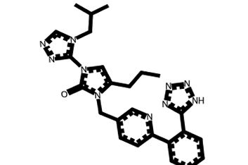 CCCc1cn(-c2nncn2CC(C)C)c(=O)n1Cc1ccc(-c2ccccc2-c2nnn[nH]2)nc1